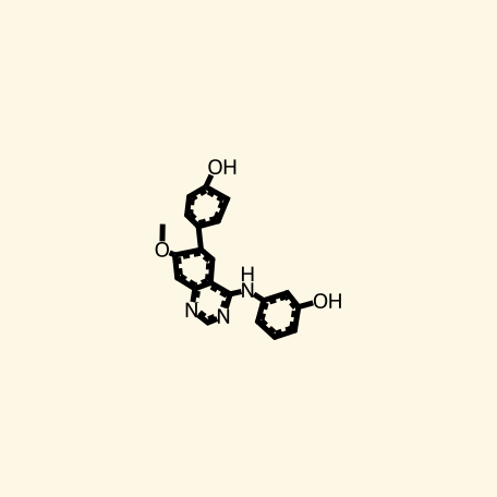 COc1cc2ncnc(Nc3cccc(O)c3)c2cc1-c1ccc(O)cc1